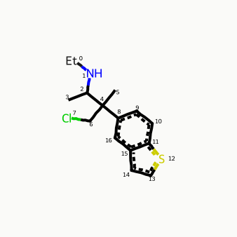 CCNC(C)C(C)(CCl)c1ccc2sccc2c1